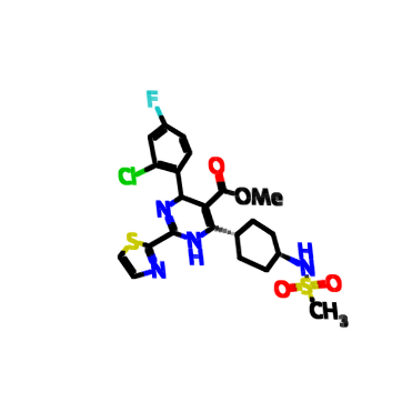 COC(=O)C1=C([C@H]2CC[C@H](NS(C)(=O)=O)CC2)NC(c2nccs2)=NC1c1ccc(F)cc1Cl